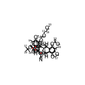 C=CCN1[C@@H]2c3c(cc(C)c(OC)c3OCOCCOC)C[C@H]1[C@H](C#N)N1C2[C@@H]2SCC(NC(=O)OC(C)(C)C)C(=O)OC[C@H]1c1c3c(c(C)c(OC(C)=O)c12)OCO3